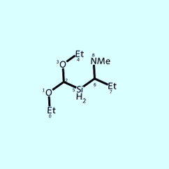 CCOC(OCC)[SiH2]C(CC)NC